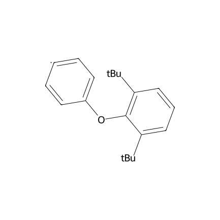 CC(C)(C)c1cccc(C(C)(C)C)c1Oc1cc[c]cc1